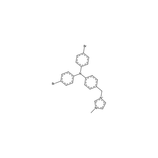 Cn1cc[n+](Cc2ccc(N(c3ccc(Br)cc3)c3ccc(Br)cc3)cc2)c1